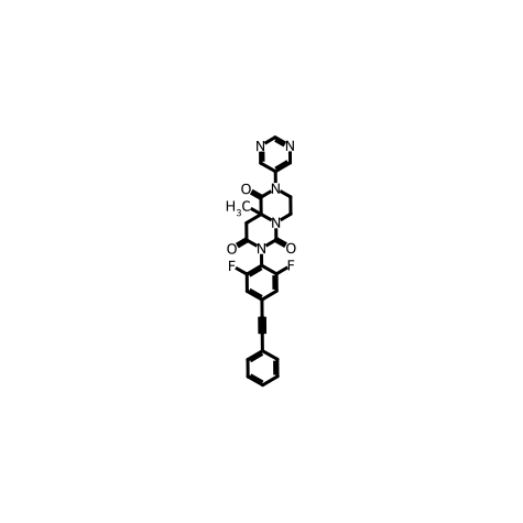 CC12CC(=O)N(c3c(F)cc(C#Cc4ccccc4)cc3F)C(=O)N1CCN(c1cncnc1)C2=O